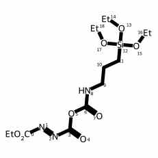 CCOC(=O)N=NC(=O)OC(=O)NCCC[Si](OCC)(OCC)OCC